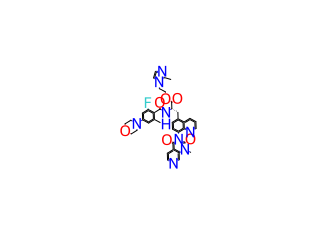 Cc1cc(N2CCOCC2)cc(F)c1C(=O)N[C@@H](Cc1ccc(-n2c(=O)c3ccncc3n(C)c2=O)c2ncccc12)C(=O)OCCn1ccnc1C